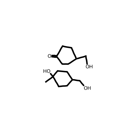 CC1(O)CCC(CO)CC1.O=C1CCC(CO)CC1